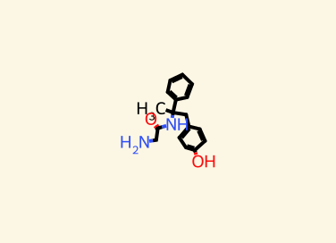 CC(Cc1ccc(O)cc1)(NC(=O)CN)c1ccccc1